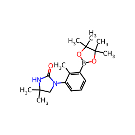 Cc1c(B2OC(C)(C)C(C)(C)O2)cccc1N1CC(C)(C)NC1=O